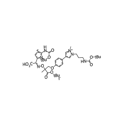 C[n+]1cc(-c2ccc(OCC(C)(ON=C(C(=O)O)c3csc(NC(=O)OC(C)(C)C)n3)C(=O)OC(C)(C)C)cc2)cn1CCCNC(=O)OC(C)(C)C.[I-]